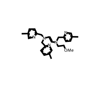 COCCN(C=CN(Cc1ccc(C)cn1)Cc1ccc(C)cn1)Cc1ccc(C)cn1